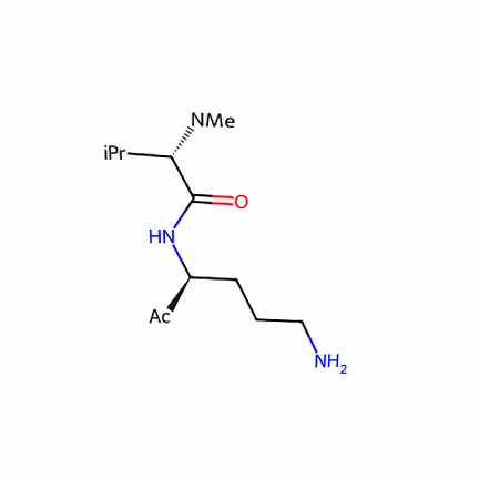 CN[C@H](C(=O)N[C@@H](CCCN)C(C)=O)C(C)C